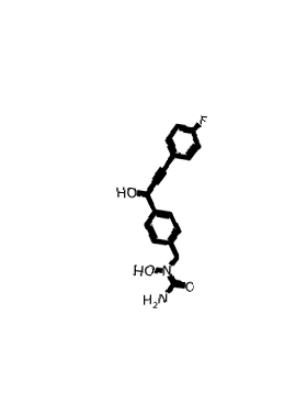 NC(=O)N(O)Cc1ccc(C(O)C#Cc2ccc(F)cc2)cc1